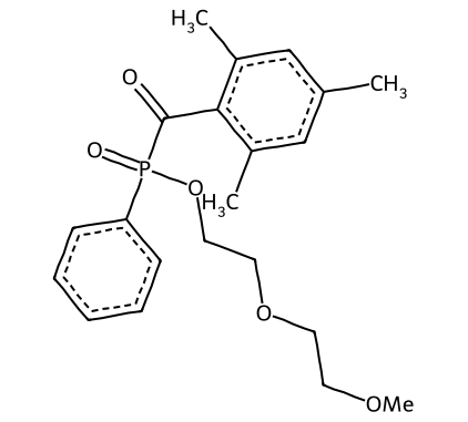 COCCOCCOP(=O)(C(=O)c1c(C)cc(C)cc1C)c1ccccc1